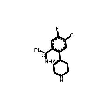 CC[C@H](NC(C)=O)c1cc(F)c(Cl)cc1C1CCNCC1